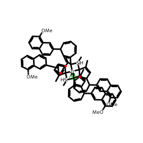 COc1cccc2ccc(C3C=CC=CC4=C3C=C(C)[C]43[SiH](C)[C]4(C(C)=CC5=C4C=CC=CC5c4ccc5cccc(OC)c5c4)[Zr]34([Cl])([Cl])[C]3(C(C)=CC5=C3C=CC=CC5c3ccc5cccc(OC)c5c3)[SiH](C)[C]43C(C)=CC4=C3C=CC=CC4c3ccc4cccc(OC)c4c3)cc12